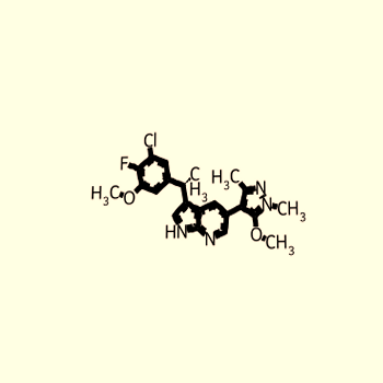 COc1cc([C@H](C)c2c[nH]c3ncc(-c4c(C)nn(C)c4OC)cc23)cc(Cl)c1F